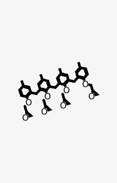 Cc1ccc(OCC2CO2)c(Cc2cc(C)cc(Cc3cc(C)cc(Cc4cc(C)ccc4OCC4CO4)c3OCC3CO3)c2OCC2CO2)c1